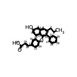 CCCc1cc2cc(O)ccc2c(Oc2ccc(C=CC(=O)O)cc2)c1-c1ccccc1